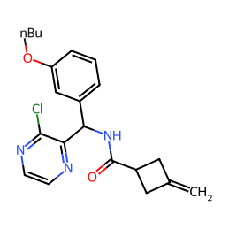 C=C1CC(C(=O)NC(c2cccc(OCCCC)c2)c2nccnc2Cl)C1